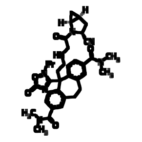 CC(C)n1oc(=O)nc1C1(CCNCC(=O)N2[C@H](C#N)C[C@@H]3C[C@@H]32)c2ccc(C(=O)N(C)C)cc2CCc2cc(C(=O)N(C)C)ccc21